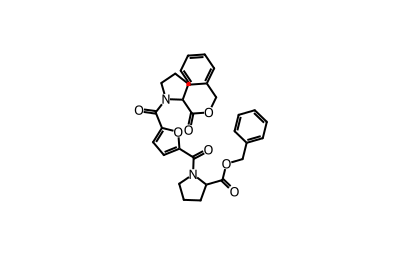 O=C(OCc1ccccc1)C1CCCN1C(=O)c1ccc(C(=O)N2CCCC2C(=O)OCc2ccccc2)o1